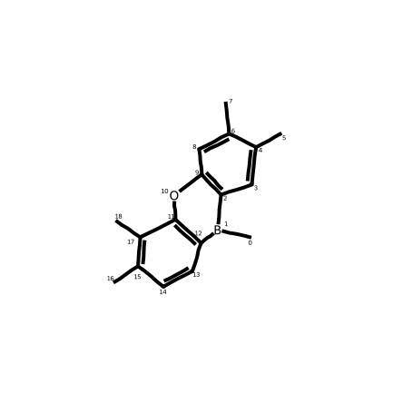 CB1c2cc(C)c(C)cc2Oc2c1ccc(C)c2C